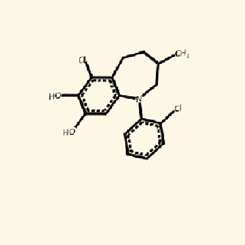 CC1CCc2c(cc(O)c(O)c2Cl)N(c2ccccc2Cl)C1